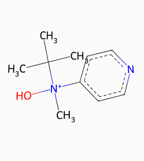 CC(C)(C)[N+](C)(O)c1ccncc1